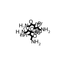 CCCC(C(=O)CN)C(OC(C(=O)CN)(C(C)CC)C(CCC)C(=O)CN)(C(=O)CN)C(C)CC